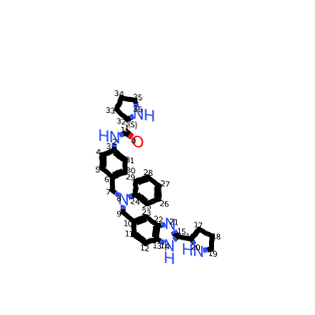 O=C(Nc1ccc(CN(Cc2ccc3[nH]c(C4CCCN4)nc3c2)c2ccccc2)cc1)[C@@H]1CCCN1